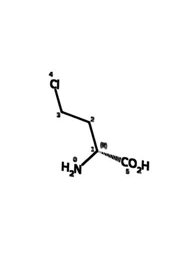 N[C@H](CCCl)C(=O)O